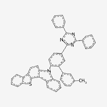 Cc1cccc(-c2cc(-c3nc(-c4ccccc4)nc(-c4ccccc4)n3)ccc2-n2c3ccccc3c3c4sc5ccccc5c4ccc32)c1